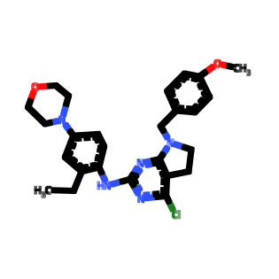 CCc1cc(N2CCOCC2)ccc1Nc1nc(Cl)c2c(n1)N(Cc1ccc(OC)cc1)CC2